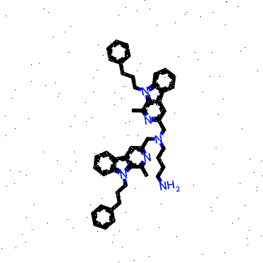 Cc1nc(CN(CCCCN)Cc2cc3c4ccccc4n(CCCc4ccccc4)c3c(C)n2)cc2c3ccccc3n(CCCc3ccccc3)c12